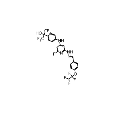 OC(c1ccc(Nc2cc(F)nc(NN=Cc3ccc(OC(F)(F)C(F)F)cc3)n2)cc1)(C(F)(F)F)C(F)(F)F